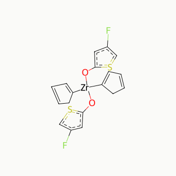 Fc1csc([O][Zr]([O]c2cc(F)cs2)([C]2=CC=CC2)[C]2=CC=CC2)c1